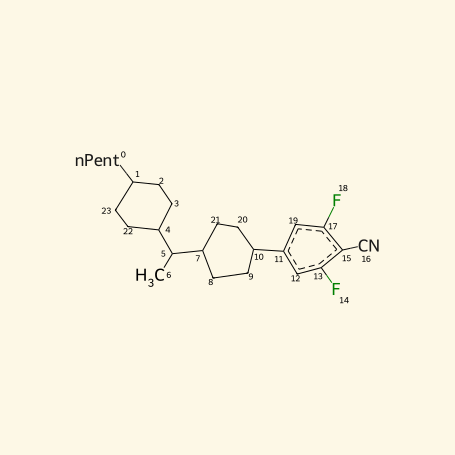 CCCCCC1CCC(C(C)C2CCC(c3cc(F)c(C#N)c(F)c3)CC2)CC1